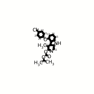 Cc1c(OC(=O)OC(C)C)ncc2[nH]c3cccc(Oc4ccc(Cl)cc4)c3c12